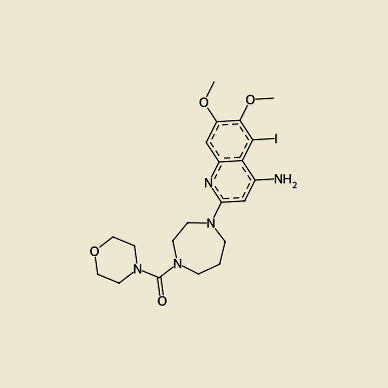 COc1cc2nc(N3CCCN(C(=O)N4CCOCC4)CC3)cc(N)c2c(I)c1OC